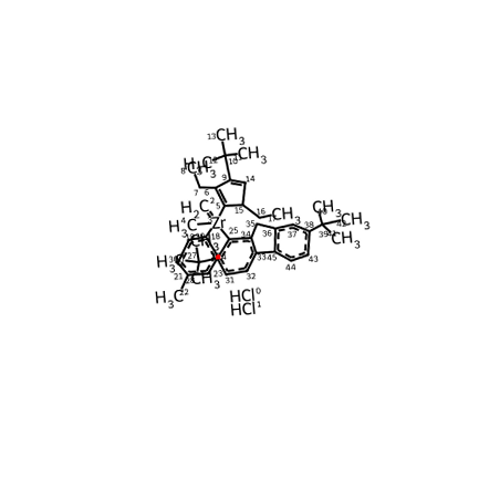 Cl.Cl.[CH2]=[Zr]([CH3])([C]1=C(CC)C(C(C)(C)C)=CC1CC)([c]1ccc(C)cc1)[c]1c(C(C)(C)C)ccc2c1Cc1cc(C(C)(C)C)ccc1-2